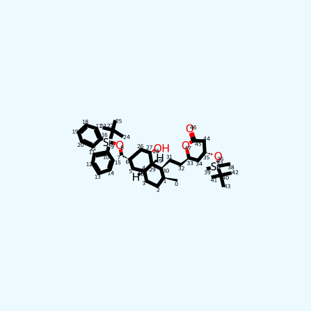 C[C@H]1CC[C@H]2C[C@H](CO[Si](c3ccccc3)(c3ccccc3)C(C)(C)C)C[C@H](O)[C@@H]2[C@H]1CC[C@@H]1C[C@@H](O[Si](C)(C)C(C)(C)C)CC(=O)O1